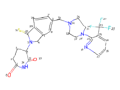 O=C1CCC(N2Cc3cc(CN4CCN(c5ncccc5C(F)(F)F)CC4)ccc3C2=S)C(=O)N1